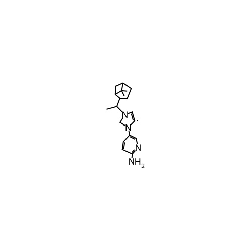 CC(C1CCC2CC1C2(C)C)N1C=[C]N(c2ccc(N)nc2)C1